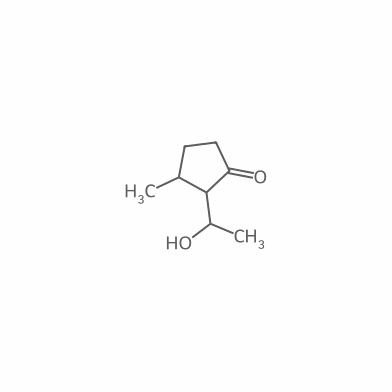 CC(O)C1C(=O)CCC1C